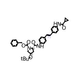 CC(C)(C)O[C@@H]1C[C@@H](C(=O)Nc2ccc(/C=C/c3ccc(NC(=O)C4CC4)cc3)cc2)N(C(=O)OCc2ccccc2)C1